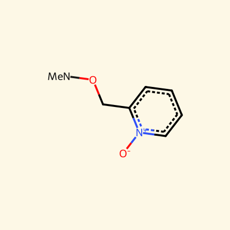 CNOCc1cccc[n+]1[O-]